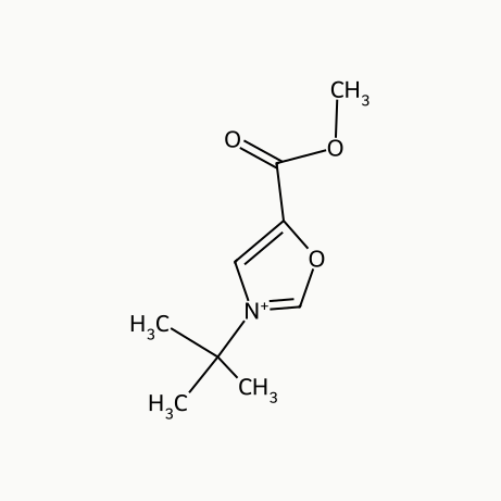 COC(=O)c1c[n+](C(C)(C)C)co1